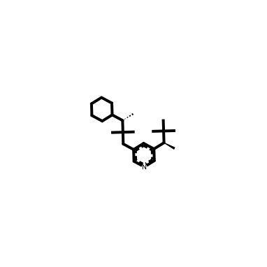 C[C@@H](c1cncc(CC(C)(C)[C@@H](C)C2CCCCC2)c1)C(C)(C)C